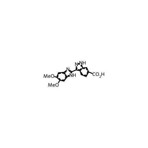 COc1cc2nc(-c3n[nH]c4cc(C(=O)O)ccc34)[nH]c2cc1OC